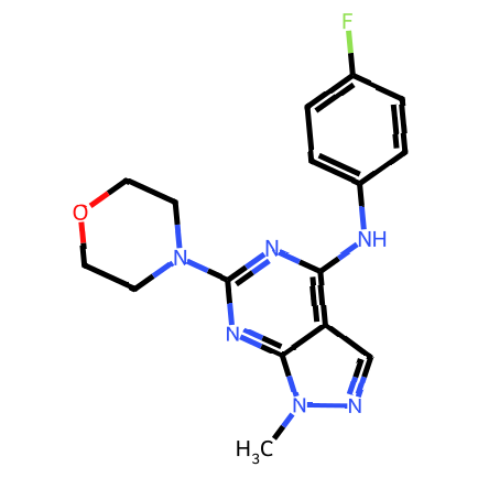 Cn1ncc2c(Nc3ccc(F)cc3)nc(N3CCOCC3)nc21